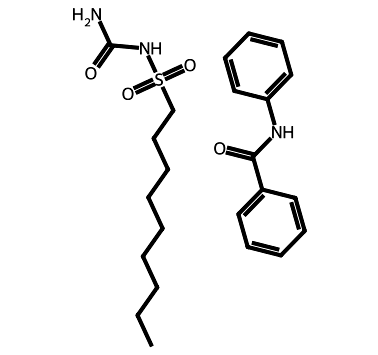 CCCCCCCCCS(=O)(=O)NC(N)=O.O=C(Nc1ccccc1)c1ccccc1